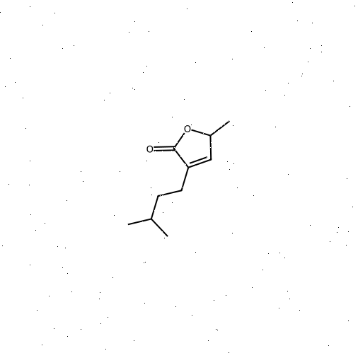 CC(C)CCC1=CC(C)OC1=O